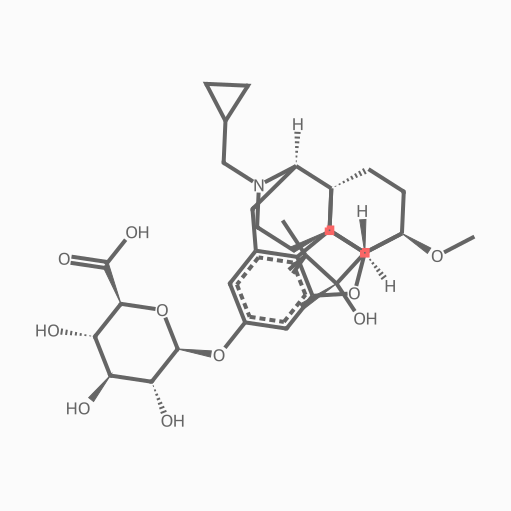 CO[C@]12CC[C@@]3(C[C@@H]1[C@](C)(O)C(C)(C)C)[C@H]1Cc4cc(O[C@@H]5O[C@H](C(=O)O)[C@@H](O)[C@H](O)[C@H]5O)cc5c4[C@@]3(CCN1CC1CC1)[C@H]2O5